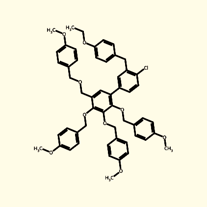 CCOc1ccc(Cc2cc(-c3cc(COCc4ccc(OC)cc4)c(OCc4ccc(OC)cc4)c(OCc4ccc(OC)cc4)c3OCc3ccc(OC)cc3)ccc2Cl)cc1